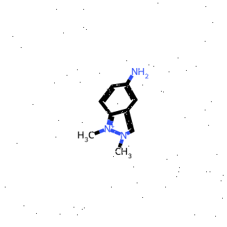 Cn1cc2cc(N)ccc2[n+]1C